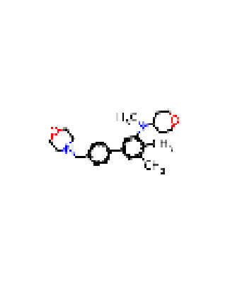 Cc1cc(-c2ccc(CN3CCOCC3)cc2)cc(N(C)C2CCOCC2)c1C